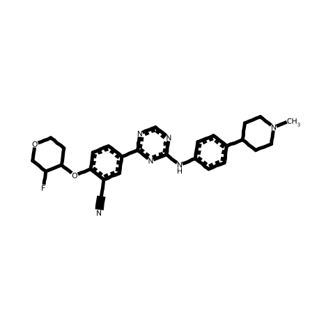 CN1CCC(c2ccc(Nc3ncnc(-c4ccc(OC5CCOCC5F)c(C#N)c4)n3)cc2)CC1